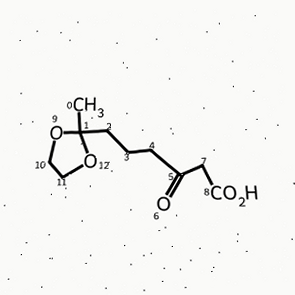 CC1(CCCC(=O)CC(=O)O)OCCO1